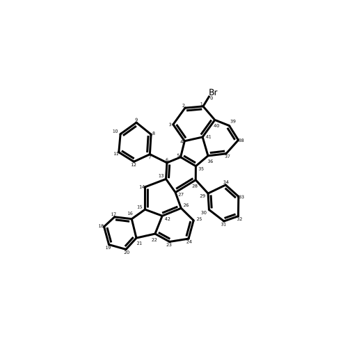 Brc1ccc2c3c(-c4ccccc4)c4cc5c6ccccc6c6cccc(c4c(-c4ccccc4)c3c3cccc1c23)c65